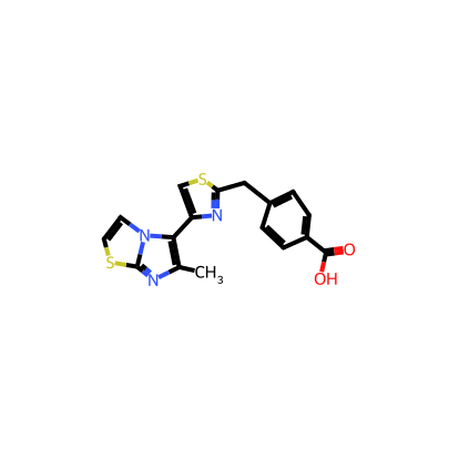 Cc1nc2sccn2c1-c1csc(Cc2ccc(C(=O)O)cc2)n1